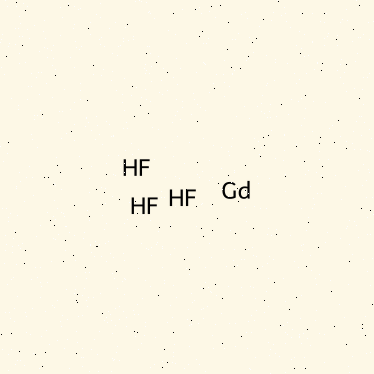 F.F.F.[Gd]